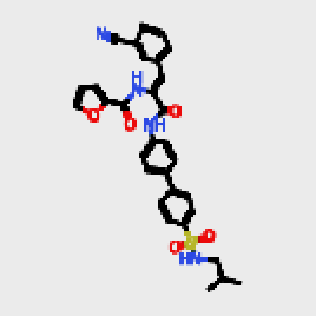 CC(C)CNS(=O)(=O)c1ccc(-c2ccc(NC(=O)C(=Cc3cccc(C#N)c3)NC(=O)c3ccco3)cc2)cc1